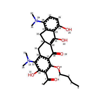 CCCCOc1c(C(C)=O)c(O)c(N(C)C)c2c1C(=O)C1=C(O)c3c(O)ccc(N(C)C)c3CC1C2